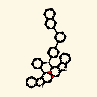 c1cc(-c2ccc(N(c3ccccc3-c3cccc4oc5ccccc5c34)c3cccc4oc5ccccc5c34)cc2)cc(-c2ccc3ccccc3c2)c1